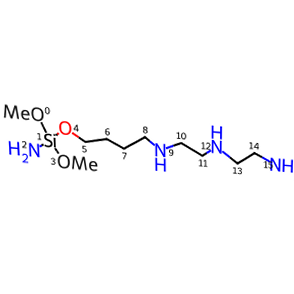 CO[Si](N)(OC)OCCCCNCCNCCN